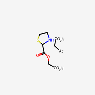 CC(=O)CC(=O)O.O=C(O)COC(=O)C1NCCS1